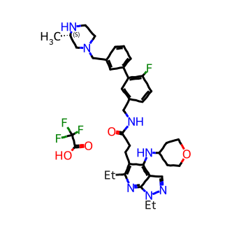 CCc1nc2c(cnn2CC)c(NC2CCOCC2)c1CCC(=O)NCc1ccc(F)c(-c2cccc(CN3CCN[C@@H](C)C3)c2)c1.O=C(O)C(F)(F)F